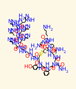 NCCCC[C@H](NC(=O)[C@@H]1CCCN1C(=O)[C@@H]1CSSC[C@H](NC(=O)CNC(=O)CNC(=O)CNC(=O)[C@H](Cc2cnc[nH]2)NC(=O)[C@H](Cc2cnc[nH]2)NC(=O)[C@H](Cc2cnc[nH]2)NC(=O)[C@H](Cc2cnc[nH]2)NC(=O)[C@H](Cc2cnc[nH]2)NC(=O)[C@@H](N)Cc2cnc[nH]2)C(=O)N[C@H](Cc2ccc(O)cc2)C(=O)N[C@@H](Cc2ccccc2)C(=O)N[C@@H](CCC(N)=O)C(=O)N[C@@H](CC(N)=O)C(=O)N1)C(=O)NCC(N)=O